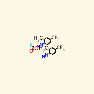 Cc1cc(C(F)(F)F)ccc1[N+]#N.Cc1cc(C(F)(F)F)ccc1[N+]#N.[O-]B([O-])F